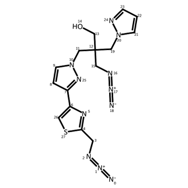 [N-]=[N+]=NCc1nc(-c2ccn(CC(CO)(CN=[N+]=[N-])Cn3cccn3)n2)cs1